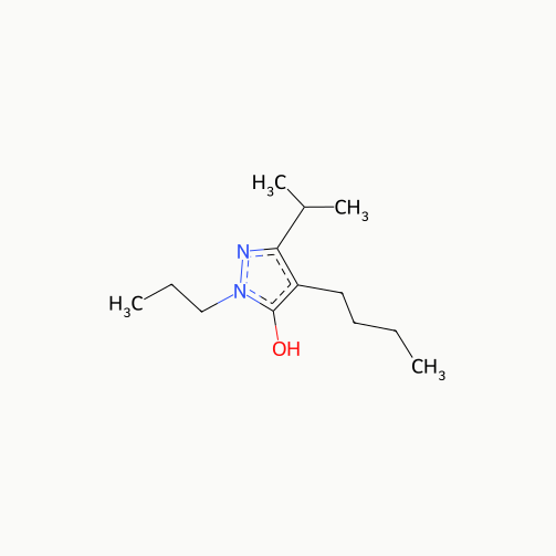 CCCCc1c(C(C)C)nn(CCC)c1O